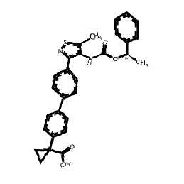 Cc1snc(-c2ccc(-c3ccc(C4(C(=O)O)CC4)cc3)cc2)c1NC(=O)O[C@H](C)c1ccccc1